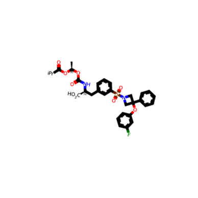 CC(C)C(=O)O[C@@H](C)OC(=O)N[C@@H](Cc1cccc(S(=O)(=O)N2CC(Oc3cccc(F)c3)(c3ccccc3)C2)c1)C(=O)O